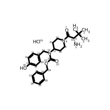 CC(C)(C)[C@H](N)C(=O)N1CCC(N(Cc2ccc(O)cc2)C(=O)OCc2ccccc2)CC1.Cl